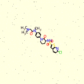 CN(C)CC(=O)N(C)c1ccc(N2CCCC(NS(=O)(=O)c3cc4ccc(Cl)nc4s3)C2=O)cc1